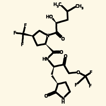 CC(C)C[C@@H](O)C(=O)N1C[C@H](C(F)(F)F)C[C@H]1C(=O)N[C@@H](C[C@@H]1CCNC1=O)C(=O)COC(F)(F)F